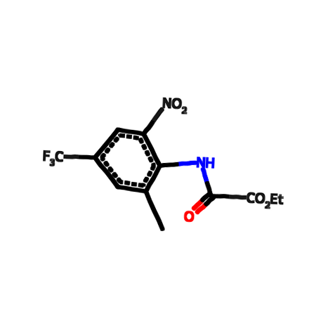 CCOC(=O)C(=O)Nc1c(C)cc(C(F)(F)F)cc1[N+](=O)[O-]